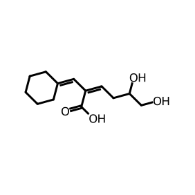 O=C(O)C(C=C1CCCCC1)=CCC(O)CO